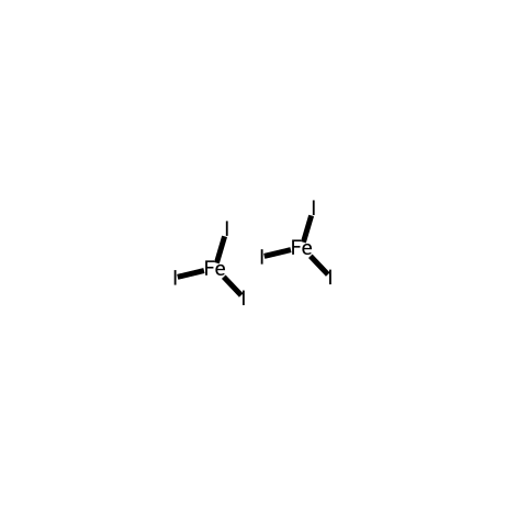 [I][Fe]([I])[I].[I][Fe]([I])[I]